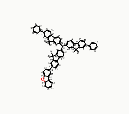 CC1(C)c2cc(-c3ccccc3)ccc2-c2ccc(C(c3ccc4c(c3)C(C)(C)c3cc(-c5ccccc5)ccc3-4)c3ccc4c(c3)C(C)(C)c3cc(-c5ccc6oc7ccccc7c6c5)ccc3-4)cc21